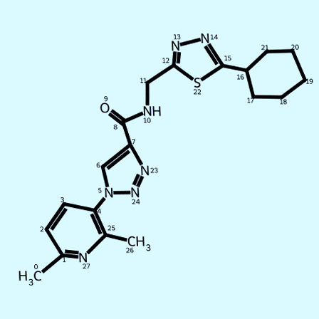 Cc1ccc(-n2cc(C(=O)NCc3nnc(C4CCCCC4)s3)nn2)c(C)n1